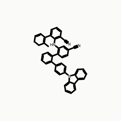 CC1=C(c2cccc(C#N)c2Nc2cc(C#N)ccc2-c2ccccc2-c2ccc(-n3c4ccccc4c4ccccc43)cc2)C=CCC1